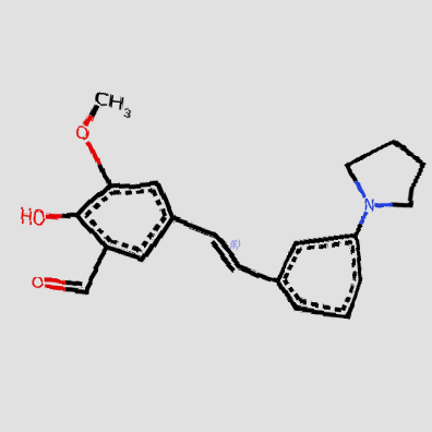 COc1cc(/C=C/c2cccc(N3CCCC3)c2)cc(C=O)c1O